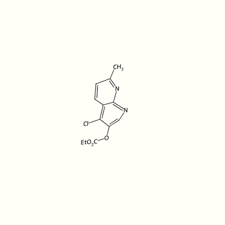 CCOC(=O)Oc1cnc2nc(C)ccc2c1Cl